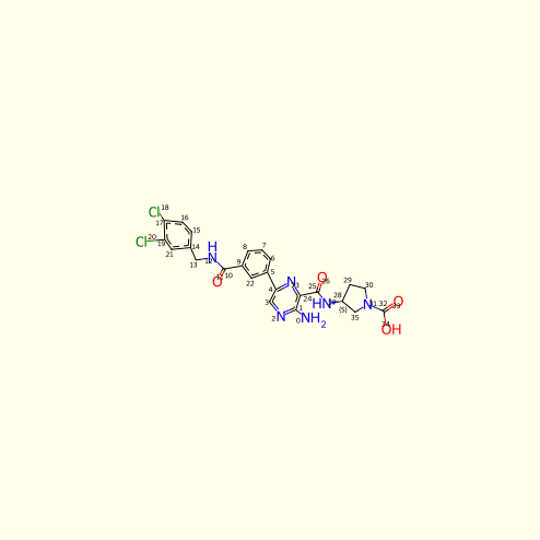 Nc1ncc(-c2cccc(C(=O)NCc3ccc(Cl)c(Cl)c3)c2)nc1C(=O)N[C@H]1CCN(C(=O)O)C1